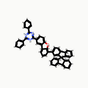 c1ccc(-c2nc(-c3ccccc3)nc(-c3ccc4oc5c(-c6ccc7c(c6)C6(c8ccccc8-c8ccccc86)c6ccccc6-7)cccc5c4c3)n2)cc1